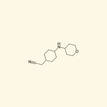 N#CCC1CCC(NC2CCOCC2)CC1